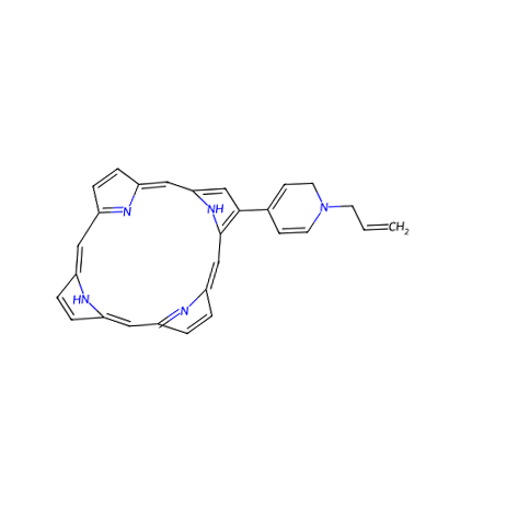 C=CCN1C=CC(c2cc3cc4nc(cc5ccc(cc6nc(cc2[nH]3)C=C6)[nH]5)C=C4)=CC1